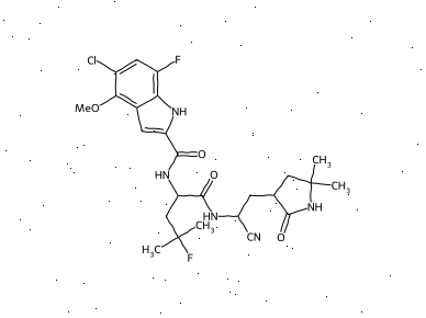 COc1c(Cl)cc(F)c2[nH]c(C(=O)NC(CC(C)(C)F)C(=O)NC(C#N)CC3CC(C)(C)NC3=O)cc12